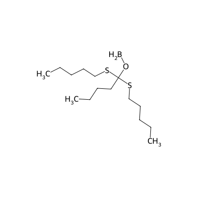 BOC(CCCC)(SCCCCC)SCCCCC